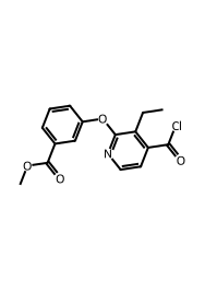 CCc1c(C(=O)Cl)ccnc1Oc1cccc(C(=O)OC)c1